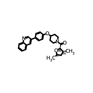 C[C@@H]1C[C@H](C)[C@H](C(=O)N2CCC(Oc3ccc(-c4cnc5ccccc5c4)cc3)CC2)O1